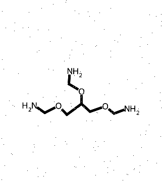 NCOCC(COCN)OCN